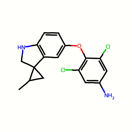 CC1CC12CNc1ccc(Oc3c(Cl)cc(N)cc3Cl)cc12